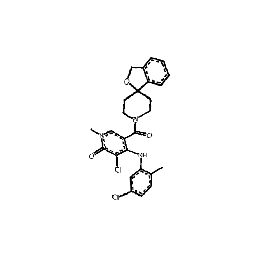 Cc1ccc(Cl)cc1Nc1c(C(=O)N2CCC3(CC2)OCc2ccccc23)cn(C)c(=O)c1Cl